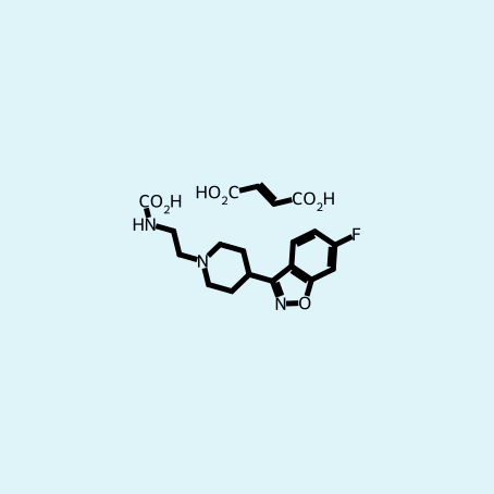 O=C(O)C=CC(=O)O.O=C(O)NCCN1CCC(c2noc3cc(F)ccc23)CC1